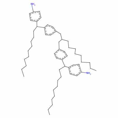 CCCCCCCCCCC(c1ccc(N)cc1)c1ccc(CC(CCCCCCCCC)Cc2ccc(C(CCCCCCCCCC)c3ccc(N)cc3)cc2)cc1